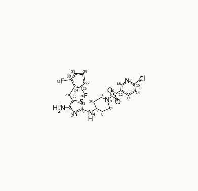 Nc1nc(NC2CCN(S(=O)(=O)c3ccc(Cl)nc3)CC2)sc1Cc1c(F)cccc1F